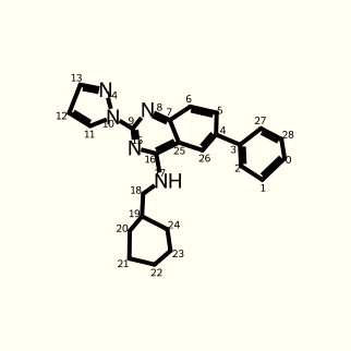 c1ccc(-c2ccc3nc(-n4cccn4)nc(NCC4CCCCC4)c3c2)cc1